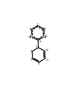 C1=CCC(c2ncccn2)C=C1